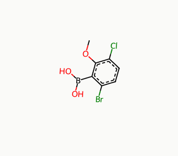 COc1c(Cl)ccc(Br)c1B(O)O